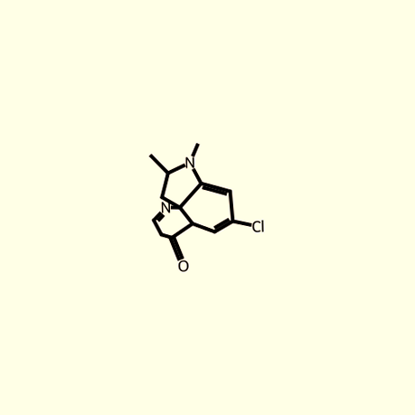 CC1CC23N=CCC(=O)C2C=C(Cl)C=C3N1C